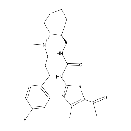 CC(=O)c1sc(NC(=O)NC[C@@H]2CCCC[C@H]2N(C)CCCc2ccc(F)cc2)nc1C